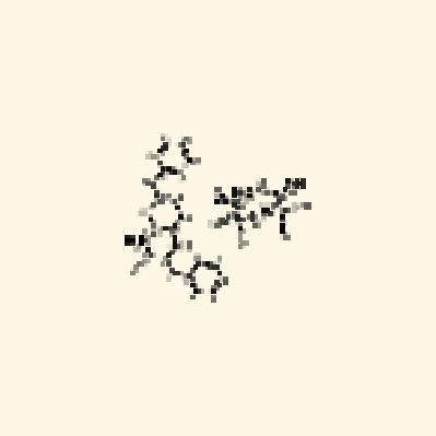 NC(=O)C(Cc1ccccc1)NC1CCN(Cc2ccccc2)CC1.O=C(O)C(F)(F)F.O=C(O)C(F)(F)F